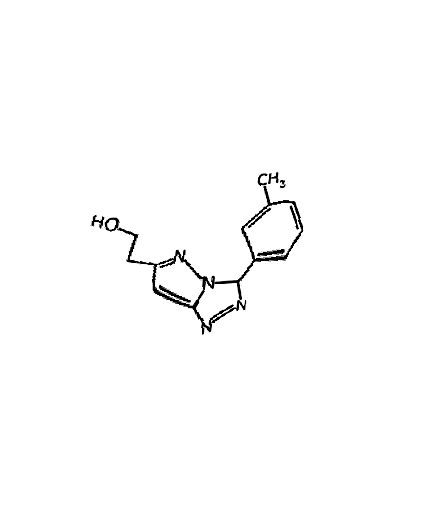 Cc1cccc(C2N=Nc3cc(CCO)nn32)c1